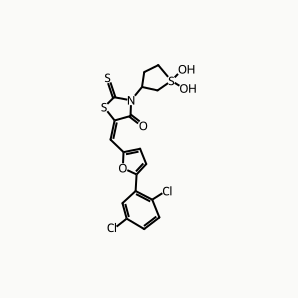 O=C1/C(=C\c2ccc(-c3cc(Cl)ccc3Cl)o2)SC(=S)N1C1CCS(O)(O)C1